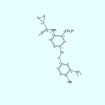 O=C(O)c1cc(OCc2ccc(Br)c(C(F)(F)F)c2)ccc1NC(=O)C1CC1